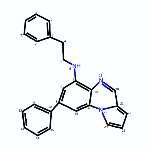 c1ccc(CCNc2cc(-c3ccccc3)cc3c2ncc2cccn23)cc1